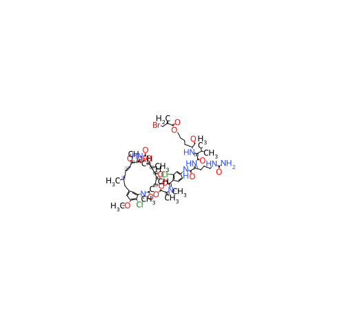 C=C(CBr)C(=O)OCCCCC(C=O)N[C@H](C(=O)N[C@@H](CCCNC(N)=O)C(=O)Nc1ccc(C(=O)N(C)[C@@H](C)C(=O)O[C@H]2CC(=O)N(C)c3cc(cc(OC)c3Cl)C/C(C)=C/C=C/[C@@H](OC)[C@@]3(O)C[C@H](OC(=O)N3)[C@@H](C)[C@@H]3O[C@@]23C)c(Cl)c1)C(C)C